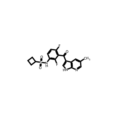 Cc1cnc2[nH]cc(C(=O)c3c(F)ccc(NS(=O)(=O)C4CCC4)c3F)c2c1